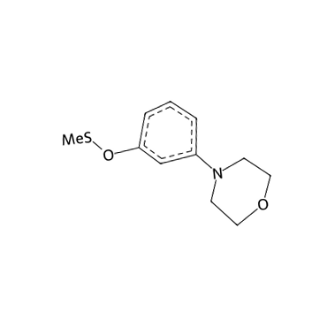 CSOc1cccc(N2CCOCC2)c1